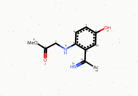 COC(=O)CNc1ccc(O)cc1C(=N)C(C)=O